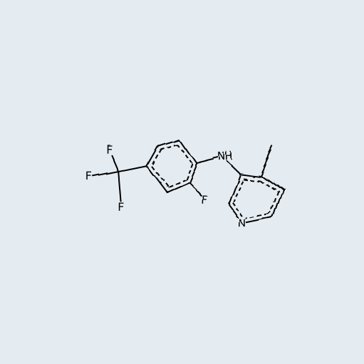 Cc1ccncc1Nc1ccc(C(F)(F)F)cc1F